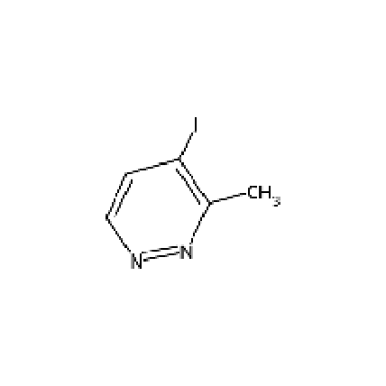 Cc1nnccc1I